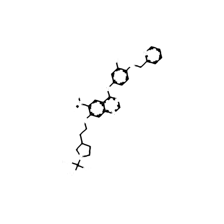 CC(C)(C)N1CCC(CCOc2cc3ncnc(Nc4ccc(OCc5ccccn5)c(Cl)c4)c3cc2[N+](=O)[O-])C1